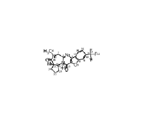 CN1Cc2nc3c(oc4cc(C(F)(F)F)ccc43)c(=O)n2[C@H]2CCC[C@@H]2C1=O